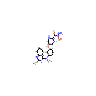 Cc1nc(N(C)c2cccc(Oc3cnc(C(=O)N(N)O)nc3)c2)c2ccccc2n1